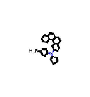 Bc1ccc(N(c2ccccc2)c2ccc3ccc4ccc5ccccc5c4c3c2)cc1